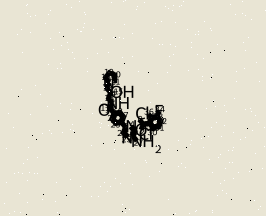 CC(Oc1nc(-c2ccc(C(=O)NC[C@@H](O)CN3CCCC3)cc2)cnc1N)c1c(Cl)ccc(F)c1Cl